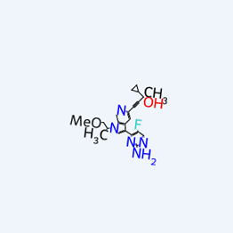 COCC(C)n1cc(-c2nc(N)ncc2F)c2cc(C#CC(C)(O)C3CC3)ncc21